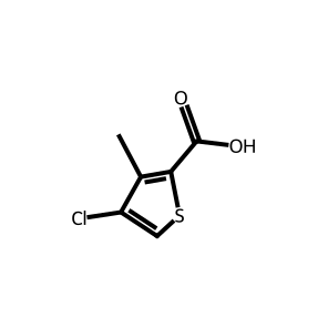 Cc1c(Cl)csc1C(=O)O